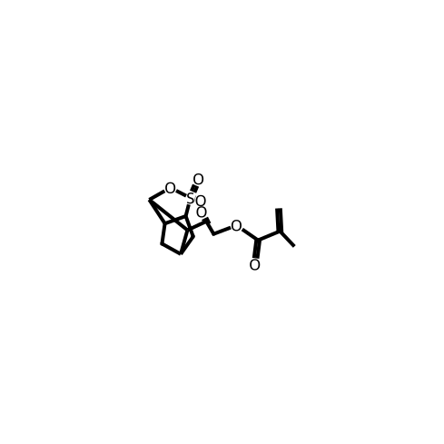 C=C(C)C(=O)OCC(=O)C1C2CC3C1OS(=O)(=O)C3C2